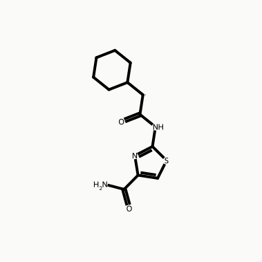 NC(=O)c1csc(NC(=O)[CH]C2CCCCC2)n1